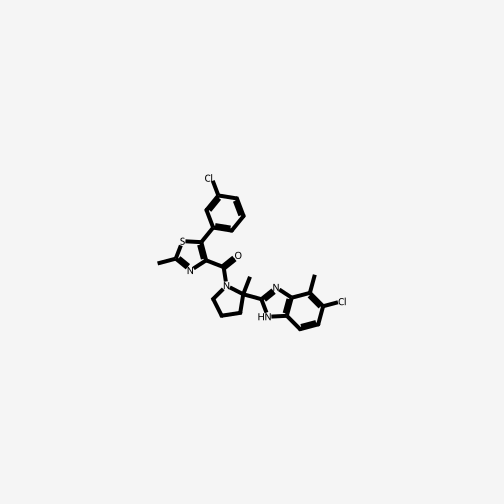 Cc1nc(C(=O)N2CCCC2(C)c2nc3c(C)c(Cl)ccc3[nH]2)c(-c2cccc(Cl)c2)s1